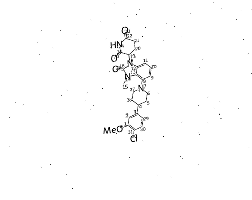 COc1cc(C2CCN(c3cccc4c3n(C)c(=O)n4C3CCC(=O)NC3=O)CC2)ccc1Cl